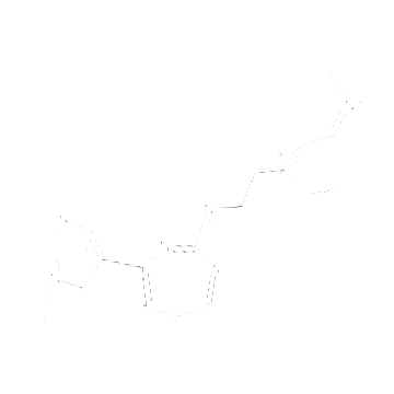 CC/C(=C\C=N/C)CCNC1=NC(/C(=C/N)CNC)=CCC=N1